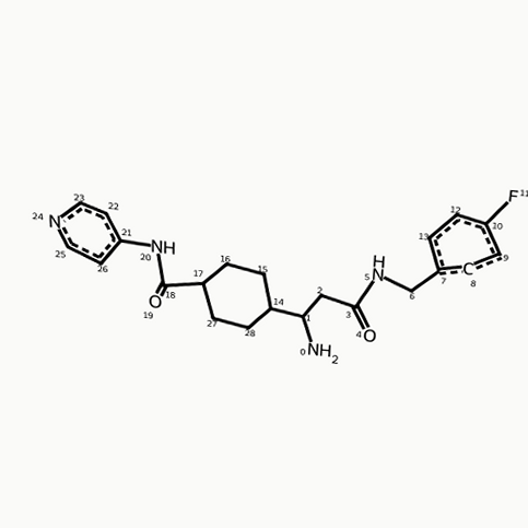 NC(CC(=O)NCc1ccc(F)cc1)C1CCC(C(=O)Nc2ccncc2)CC1